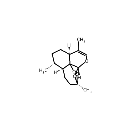 CC1=CO[C@@H]2O[C@]3(C)CC[C@H]4[C@H](C)CC[C@@H]1C24OO3